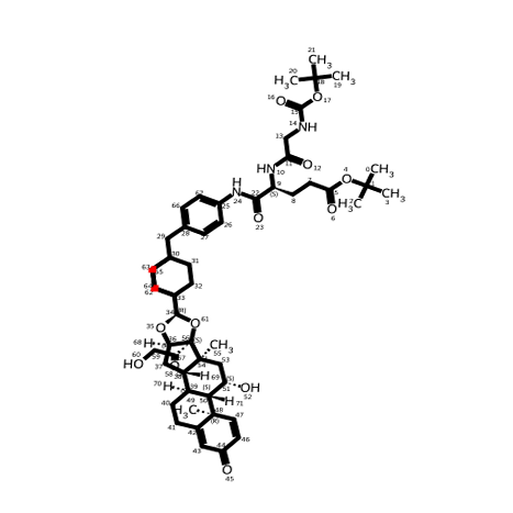 CC(C)(C)OC(=O)CC[C@H](NC(=O)CNC(=O)OC(C)(C)C)C(=O)Nc1ccc(CC23CCC([C@@H]4O[C@@H]5C[C@H]6[C@@H]7CCC8=CC(=O)C=C[C@]8(C)[C@H]7[C@@H](O)C[C@]6(C)[C@]5(C(=O)CO)O4)(CC2)CC3)cc1